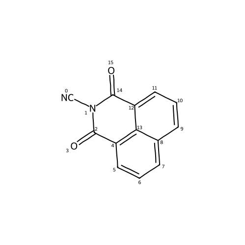 N#CN1C(=O)c2cccc3cccc(c23)C1=O